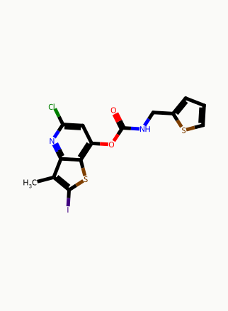 Cc1c(I)sc2c(OC(=O)NCc3cccs3)cc(Cl)nc12